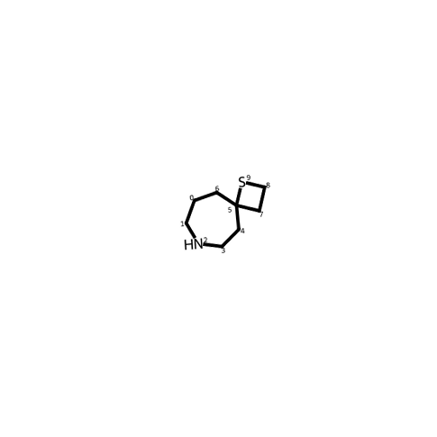 C1CNCCC2(C1)CCS2